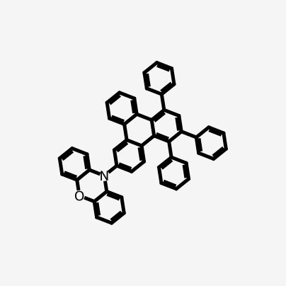 c1ccc(-c2cc(-c3ccccc3)c3c4ccccc4c4cc(N5c6ccccc6Oc6ccccc65)ccc4c3c2-c2ccccc2)cc1